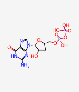 Nc1nc2c(ncn2[C@@H]2O[C@H](COP(=O)(O)OP(=O)(O)O)CC2O)c(=O)[nH]1